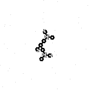 c1ccc(-c2nc(-c3ccncc3)nc(-c3ccc(-c4ccc(-c5cccnc5)c(-c5ccc(-c6nc(-c7ccccc7)nc(-c7ccncc7)n6)cc5)c4)cc3)n2)cc1